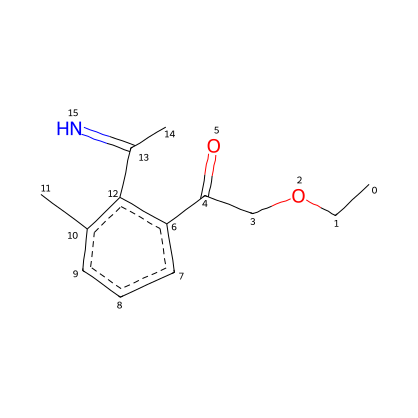 CCOCC(=O)c1cccc(C)c1C(C)=N